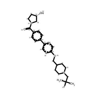 CC(C)(F)CN1CCC(COc2cnc(-c3ccc(C(=O)N4CC[C@H](O)C4)cc3)cn2)CC1